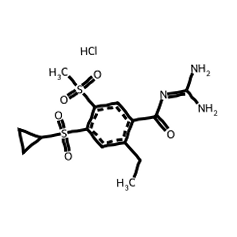 CCc1cc(S(=O)(=O)C2CC2)c(S(C)(=O)=O)cc1C(=O)N=C(N)N.Cl